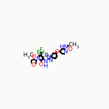 CO[C@@H]1CCOC[C@H]1n1cc(C(F)(F)F)cc(Nc2nc3ccc(Oc4ccnc(NC(C)=O)c4)cc3n2C)c1=O